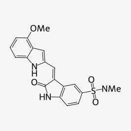 CNS(=O)(=O)c1ccc2c(c1)C(=Cc1cc3c(OC)cccc3[nH]1)C(=O)N2